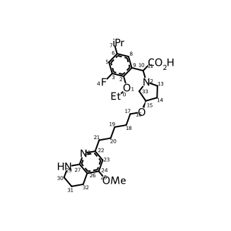 CCOc1c(F)cc(C(C)C)cc1C(C(=O)O)N1CC[C@@H](OCCCCCc2cc(OC)c3c(n2)NCCC3)C1